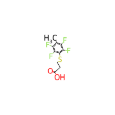 Cc1c(F)c(F)c(SCCC(=O)O)c(F)c1F